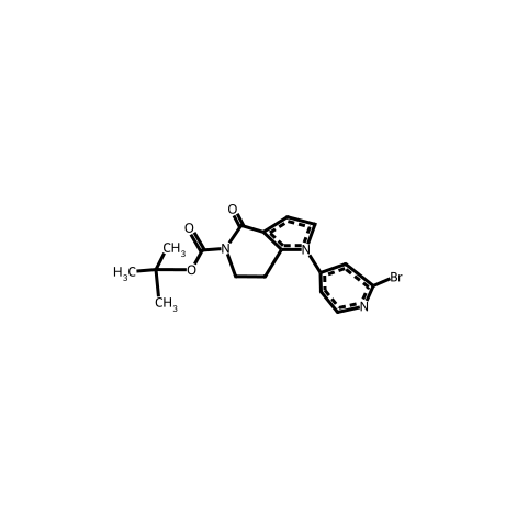 CC(C)(C)OC(=O)N1CCc2c(ccn2-c2ccnc(Br)c2)C1=O